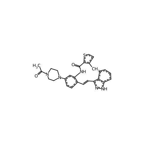 CC(=O)N1CCN(c2ccc(C=Cc3n[nH]c4ccccc34)c(NC(=O)c3sccc3C)c2)CC1